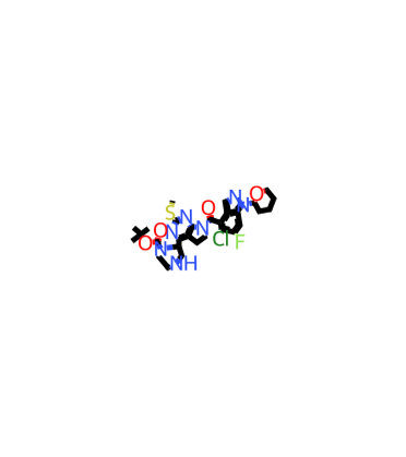 CSc1nc(C2CNCCN2C(=O)OC(C)(C)C)c2c(n1)N(C(=O)c1c(Cl)c(F)cc3c1cnn3C1CCCCO1)CC2